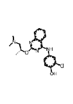 C[C@H](CN(C)C)Oc1nc(Nc2ccc(O)c(Cl)c2)c2ccccc2n1